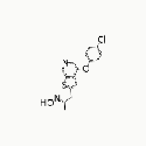 CC(Cc1cc2c(Oc3ccc(Cl)cc3)cncc2s1)=NO